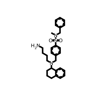 CN(Cc1ccccc1)S(=O)(=O)c1ccc(CN(CCCCN)C2CCCc3ccccc32)cc1